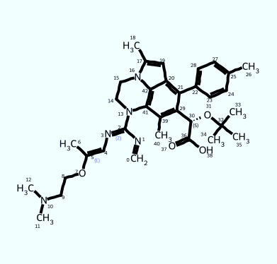 C=N/C(=N\C=C(/C)OCCN(C)C)N1CCn2c(C)cc3c(-c4ccc(C)cc4)c([C@H](OC(C)(C)C)C(=O)O)c(C)c1c32